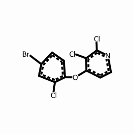 Clc1cc(Br)ccc1Oc1ccnc(Cl)c1Cl